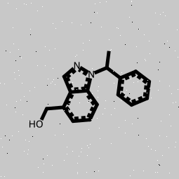 CC(c1ccccc1)n1ncc2c(CO)cccc21